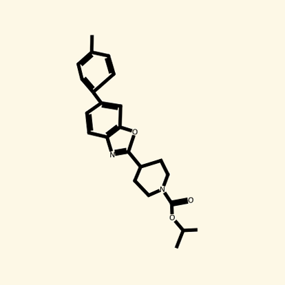 Cc1ccc(-c2ccc3nc(C4CCN(C(=O)OC(C)C)CC4)oc3c2)cc1